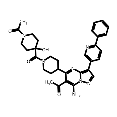 CC(=O)c1c(C2CCN(C(=O)C3(O)CCN(C(C)=O)CC3)CC2)nc2c(-c3ccc(-c4ccccc4)nc3)cnn2c1N